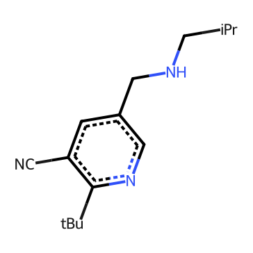 CC(C)CNCc1cnc(C(C)(C)C)c(C#N)c1